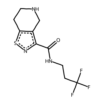 O=C(NCCC(F)(F)F)c1nsc2c1CNCC2